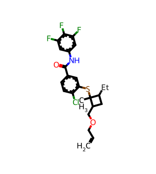 C=CCOCC1CC(CC)C1(C)Sc1cc(C(=O)Nc2cc(F)c(F)c(F)c2)ccc1Cl